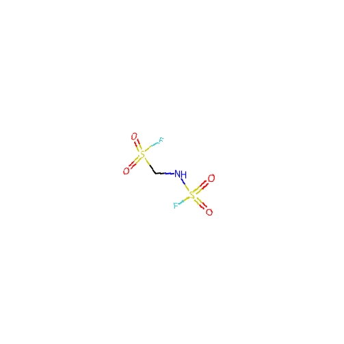 O=S(=O)(F)CNS(=O)(=O)F